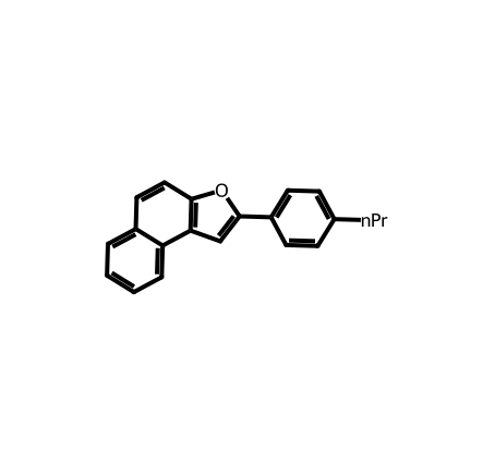 CCCc1ccc(-c2cc3c(ccc4ccccc43)o2)cc1